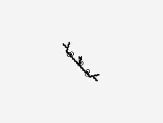 CCCCC(C/C=C\COC(=O)CCCCCCCN(CCCCCCCC(=O)OC/C=C\CC(CCCC)CCCC)C(=O)CCN(C)C)CCCC